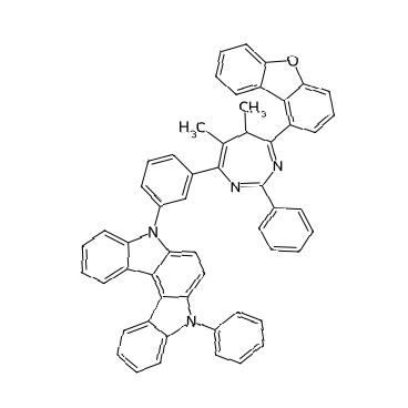 CC1=C(c2cccc(-n3c4ccccc4c4c5c6ccccc6n(-c6ccccc6)c5ccc43)c2)N=C(c2ccccc2)N=C(c2cccc3oc4ccccc4c23)C1C